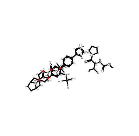 COC(=O)N[C@H](C(=O)N1CCC[C@H]1c1nc(-c2ccc(-c3ccc(NC(=O)N4CC5CCC(C4)N5C4CCN(C(=O)OC(C)(C)C)CC4)cc3OC(F)(F)F)cc2)c[nH]1)C(C)C